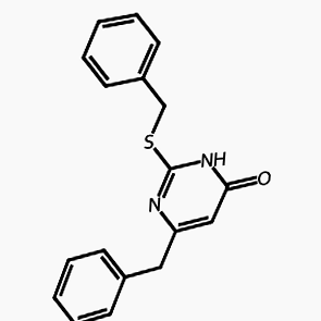 O=c1cc(Cc2ccccc2)nc(SCc2ccccc2)[nH]1